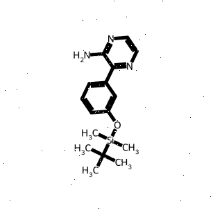 CC(C)(C)[Si](C)(C)Oc1cccc(-c2nccnc2N)c1